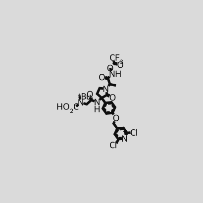 CC(C(=O)NOC(=O)C(F)(F)F)N1CCC(NC(=O)CN(C(=O)O)C(C)(C)C)(c2ccc(OCc3cc(Cl)nc(Cl)c3)cc2)C1=O